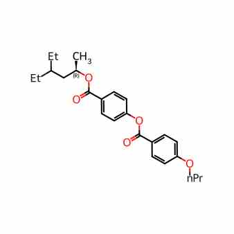 CCCOc1ccc(C(=O)Oc2ccc(C(=O)O[C@H](C)CC(CC)CC)cc2)cc1